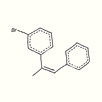 CC(=Cc1ccccc1)c1cccc(Br)c1